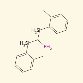 Cc1ccccc1[SiH2]C(P)[SiH2]c1ccccc1C